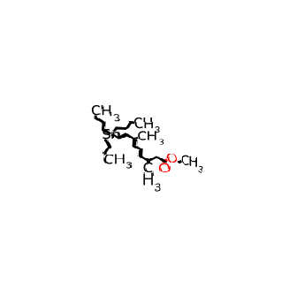 CCC[CH2][Sn]([CH]=CC(C)=CC=CC(C)CC(=O)OCC)([CH2]CCC)[CH2]CCC